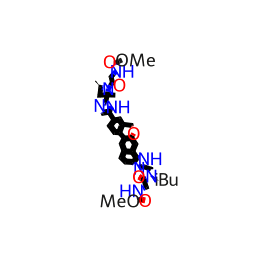 CC[C@H](C)N(Cc1nc2ccc3cc4c(cc3c2[nH]1)OCc1cc(-c2cnc(C3(C)C[C@H](C)N3C(=O)CNC(=O)OC)[nH]2)ccc1-4)C(=O)CNC(=O)OC